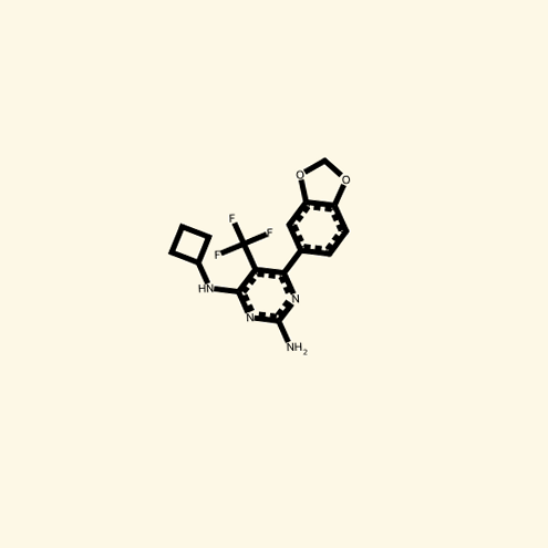 Nc1nc(NC2CCC2)c(C(F)(F)F)c(-c2ccc3c(c2)OCO3)n1